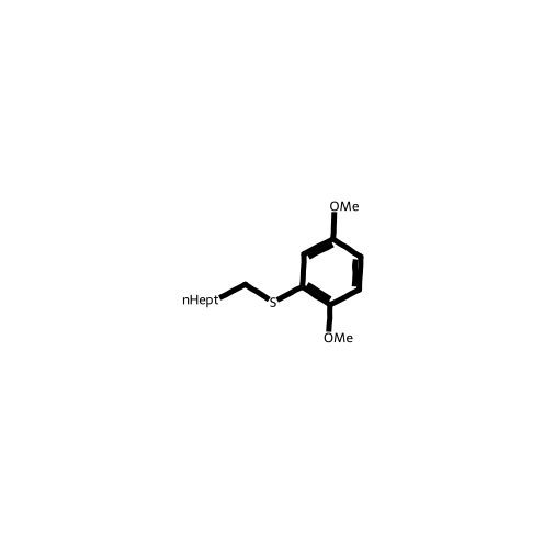 CCCCCCCCSc1cc(OC)ccc1OC